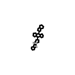 c1ccc2cc(-c3c4ccccc4c(-c4ccn5c(c4)nc4c6ccccc6sc45)c4ccccc34)ccc2c1